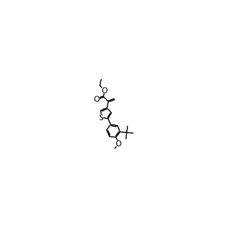 C=C(C(=O)OCC)c1csc(-c2ccc(OC)c(C(C)(C)C)c2)c1